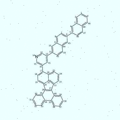 c1ccc2cc(-c3ccc4cc(-c5cncc(-c6ccc7c8c(cccc68)-c6c-7c7ccccc7c7ccccc67)c5)ccc4c3)ccc2c1